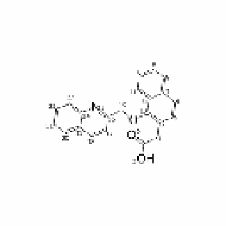 O=C(O)Cc1ccc2ccccc2c1OCc1ccc2ccccc2n1